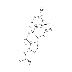 CC(=O)O[C@H]1CCC2C3CC(=O)[C@@]4(F)C[C@@H](O)CC[C@]4(C)C3CC[C@@]21C